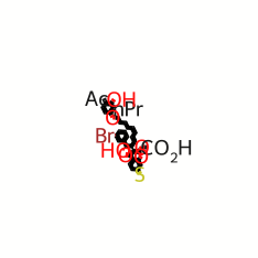 CCCc1c(OCCCC/C=C\C=C\[C@@H](c2c(OC(=O)O)oc3c(c2=O)=CCC(=S)C=3)[C@@H](O)c2cccc(Br)c2)ccc(C(C)=O)c1O